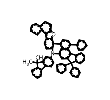 CC1(C)c2ccccc2-c2ccc(N(c3ccc4c(c3)C(c3ccccc3)(c3ccccc3)c3ccccc3-4)c3ccc4c(oc5ccc6ccccc6c54)c3-c3ccc(-c4ccccc4)cc3)cc21